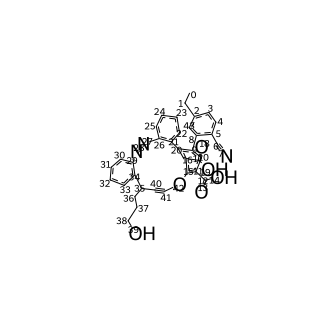 CCc1ccc(C#N)c(-c2cc(C(=O)O)c3c(C(=O)O)c2-c2ccccc2N=Nc2ccccc2C(CCCO)C#CO3)c1